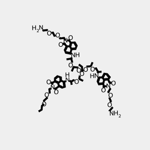 CCCOCCOCCN1C(=O)c2cccc3c(NC(C)COC(C)COC(CC)(OCC(C)OCC(C)Nc4ccc5c6c(cccc46)C(=O)N(CCOCCOCCN)C5=O)OCC(C)OCC(C)Nc4ccc5c6c(cccc46)C(=O)N(CCOCCOCCN)C5=O)ccc(c23)C1=O